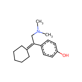 CN(C)CC(=C1CCCCC1)c1ccc(O)cc1